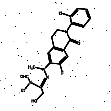 CCN(C=O)/C(CO)=N\N(C)c1cc2c(cc1F)C(=O)N(c1ccccc1Cl)CC2